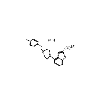 CCOC(=O)c1cc2c(N3CCN(CCc4ccc(C)cc4)CC3)cccc2s1.Cl